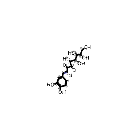 [2H]/C(=C\c1ccc(O)c(O)c1)C(=O)C(=O)[C@H](O)[C@@H](O)[C@H](O)[C@H](O)CO